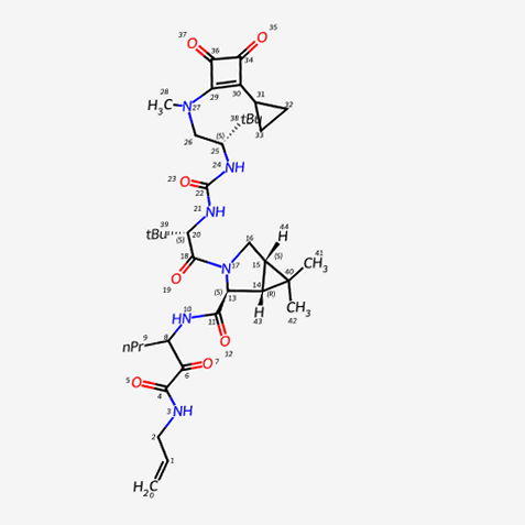 C=CCNC(=O)C(=O)C(CCC)NC(=O)[C@@H]1[C@@H]2[C@H](CN1C(=O)[C@@H](NC(=O)N[C@H](CN(C)c1c(C3CC3)c(=O)c1=O)C(C)(C)C)C(C)(C)C)C2(C)C